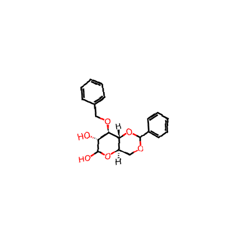 OC1O[C@@H]2COC(c3ccccc3)O[C@H]2[C@H](OCc2ccccc2)[C@H]1O